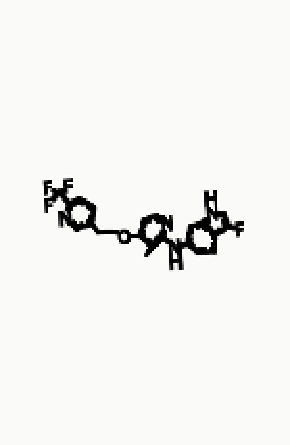 Cc1c(OCCc2ccc(C(F)(F)F)nc2)ccnc1Nc1ccc2c(F)c[nH]c2c1